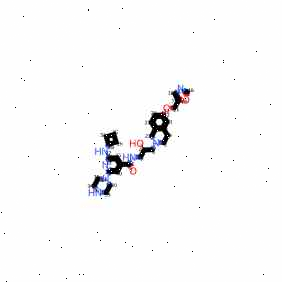 O=C(NC[C@H](O)CN1CCc2cc(OCc3cnco3)ccc2C1)c1cc(NC2CCC2)nc(N2CCNCC2)c1